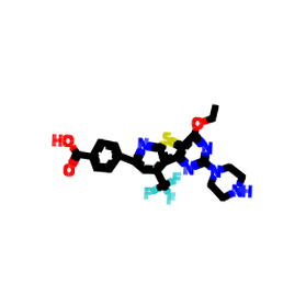 CCOc1nc(N2CCNCC2)nc2c1sc1nc(-c3ccc(C(=O)O)cc3)cc(C(F)(F)F)c12